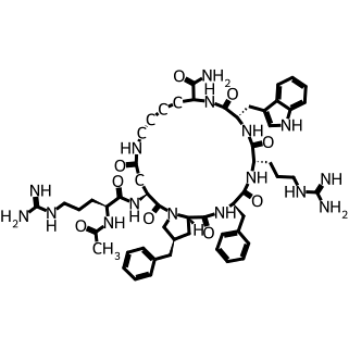 CC(=O)N[C@@H](CCCNC(=N)N)C(=O)N[C@H]1CC(=O)NCCCCC(C(N)=O)NC(=O)[C@H](Cc2c[nH]c3ccccc23)NC(=O)[C@H](CCCNC(=N)N)NC(=O)[C@@H](Cc2ccccc2)NC(=O)[C@@H]2C[C@@H](Cc3ccccc3)CN2C1=O